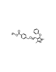 Cc1nn(C)c(Oc2ccccc2)c1C=NOCc1ccc(C(=O)OC(C)C)cc1